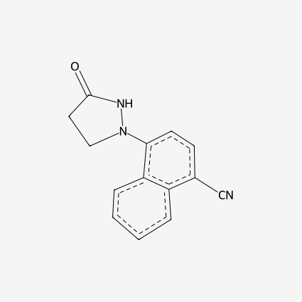 N#Cc1ccc(N2CCC(=O)N2)c2ccccc12